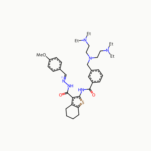 CCN(CC)CCN(CCN(CC)CC)Cc1cccc(C(=O)Nc2sc3c(c2C(=O)N/N=C/c2ccc(OC)cc2)CCCC3)c1